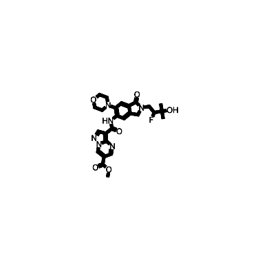 COC(=O)c1cnc2c(C(=O)Nc3cc4c(cc3N3CCOCC3)C(=O)N(CC(F)C(C)(C)O)C4)cnn2c1